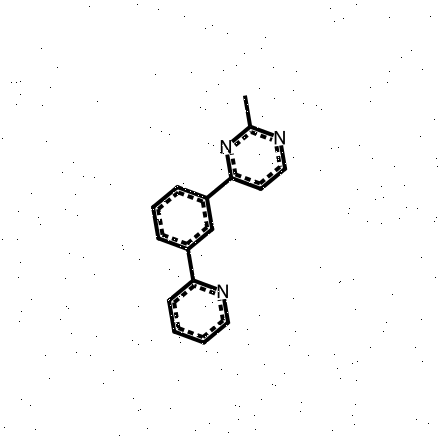 Cc1nccc(-c2cccc(-c3ccccn3)c2)n1